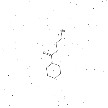 CC(C)(C)CCCC(=O)N1CCCCC1